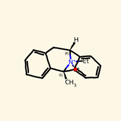 CC[N+]1(CC)[C@@H]2Cc3ccccc3[C@@]1(C)c1ccccc12